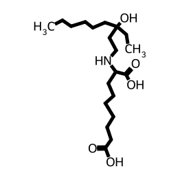 CCCCCCC(O)(CC)CCNC(CCCCCCC(=O)O)C(=O)O